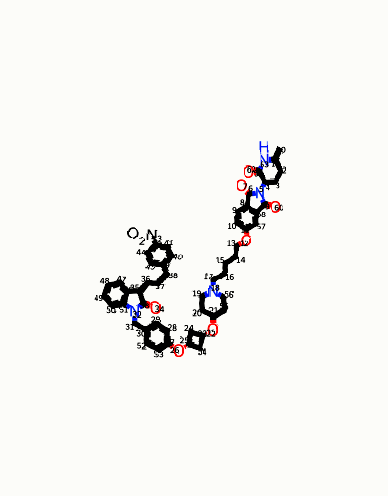 C=C1CCC(N2C(=O)c3ccc(OCCCCCN4CCC(O[C@H]5C[C@H](Oc6ccc(CN7C(=O)C(=CC=Cc8ccc([N+](=O)[O-])cc8)c8ccccc87)cc6)C5)CC4)cc3C2=O)C(=O)N1